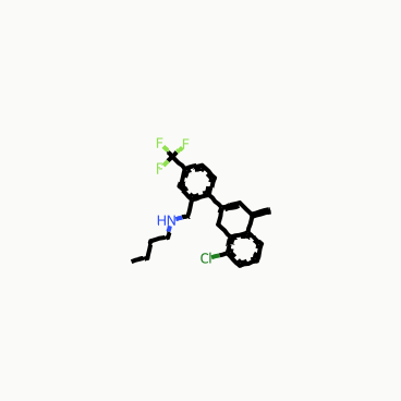 C=C1C=C(c2ccc(C(F)(F)F)cc2CNCCCC)Cc2c(Cl)cccc21